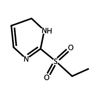 CCS(=O)(=O)C1=NC=CCN1